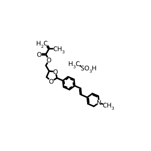 C=C(C)C(=O)OCC1COC(c2ccc(C=CC3=CCN(C)C=C3)cc2)O1.CS(=O)(=O)O